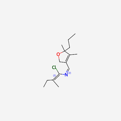 CCCC1(C)OCC(/C=N\C(Cl)=C(/C)CC)=C1C